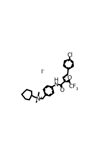 C[N+](C)(Cc1ccc(NC(=O)c2cc(-c3ccc(Cl)cc3)oc2C(F)(F)F)cc1)C1CCCCC1.[I-]